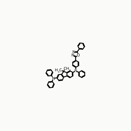 CC1(C)c2cc(N(c3ccccc3)c3ccccc3)ccc2-c2ccc(N(c3ccccc3)c3ccc(-c4nnc(-c5ccccc5)o4)cc3)cc21